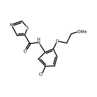 COCCOc1ccc(Cl)cc1NC(=O)c1cncs1